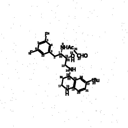 CC(=O)N[C@@H](Cc1cc(F)cc(F)c1)[C@H](O)CN[C@H]1CCNc2ccc(C(C)(C)C)cc21.CC=O